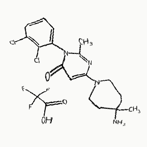 Cc1nc(N2CCC(C)(N)CC2)cc(=O)n1-c1cccc(Cl)c1Cl.O=C(O)C(F)(F)F